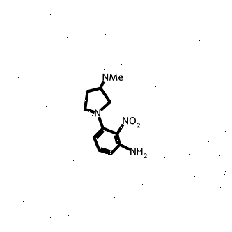 CNC1CCN(c2cccc(N)c2[N+](=O)[O-])C1